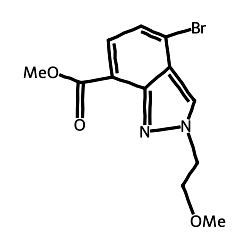 COCCn1cc2c(Br)ccc(C(=O)OC)c2n1